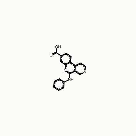 O=C(O)c1ccc2c(c1)nc(Nc1ccccc1)c1cnccc12